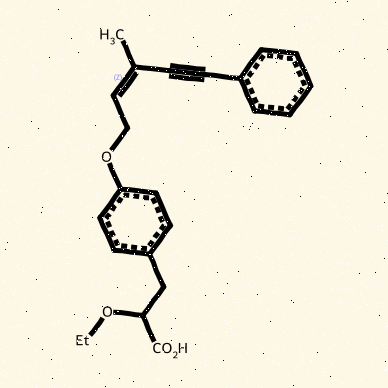 CCOC(Cc1ccc(OC/C=C(/C)C#Cc2ccccc2)cc1)C(=O)O